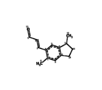 Cc1cc2c(cc1C=CC=O)C(C)CC2